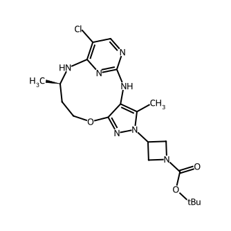 Cc1c2c(nn1C1CN(C(=O)OC(C)(C)C)C1)OCC[C@@H](C)Nc1nc(ncc1Cl)N2